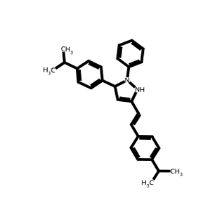 CC(C)c1ccc(C=CC2=CC(c3ccc(C(C)C)cc3)N(c3ccccc3)N2)cc1